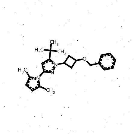 Cc1ccc(C)n1-c1cc(C(C)(C)C)n(C2CC(OCc3ccccc3)C2)n1